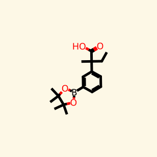 CCC(C)(C(=O)O)c1cccc(B2OC(C)(C)C(C)(C)O2)c1